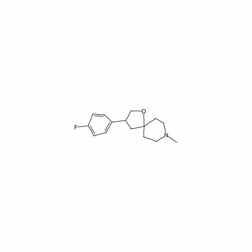 CN1CCC2(CC1)CC(c1ccc(F)cc1)CO2